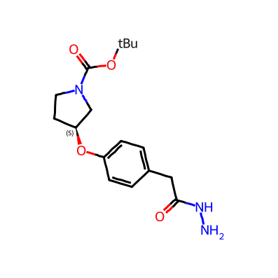 CC(C)(C)OC(=O)N1CC[C@H](Oc2ccc(CC(=O)NN)cc2)C1